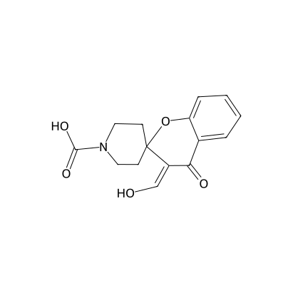 O=C1/C(=C/O)C2(CCN(C(=O)O)CC2)Oc2ccccc21